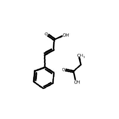 CCC(=O)O.O=C(O)C=Cc1ccccc1